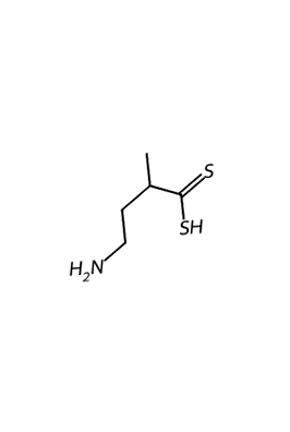 CC(CCN)C(=S)S